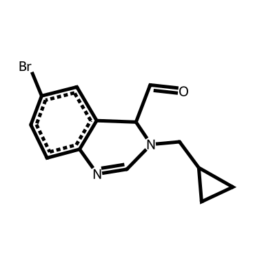 O=CC1c2cc(Br)ccc2N=CN1CC1CC1